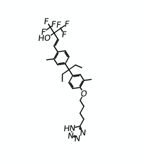 CCC(CC)(c1ccc(C=CC(O)(C(F)(F)F)C(F)(F)F)c(C)c1)c1ccc(OCCCCc2nnn[nH]2)c(C)c1